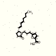 CCCCC=CC=C[C@H]1CCC(=O)N1CCCc1ccc(C(=O)O)o1